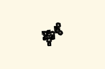 Clc1cc(Cl)c(C(c2c(Cl)cncc2Cl)c2c(Cl)cc(-n3c4ccccc4n4c5ccccc5nc34)cc2Cl)c(Cl)c1